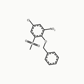 CS(=O)(=O)c1cc(Cl)cc([N+](=O)[O-])c1OCc1ccccc1